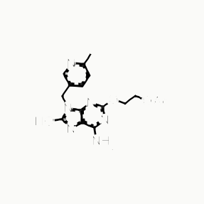 CC(=O)OCCOc1nc(N)c2nc(O)n(Cc3ccc(C)nc3)c2n1